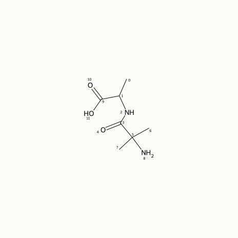 CC(NC(=O)C(C)(C)N)C(=O)O